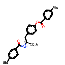 CC(C)(C)c1ccc(C(=O)N[C@@H](Cc2ccc(OC(=O)c3ccc(C(C)(C)C)cc3)cc2)C(=O)O)cc1